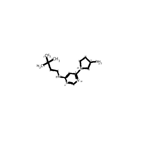 CC(C)(C)CCNc1cc(N2CCC(N)C2)ncn1